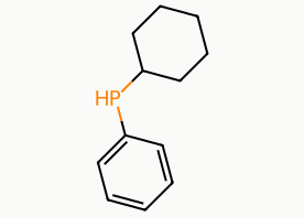 c1ccc(PC2CCCCC2)cc1